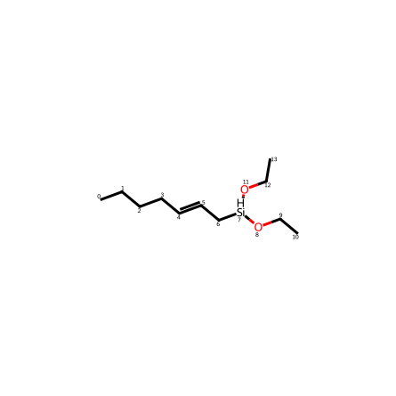 CCCCC=CC[SiH](OCC)OCC